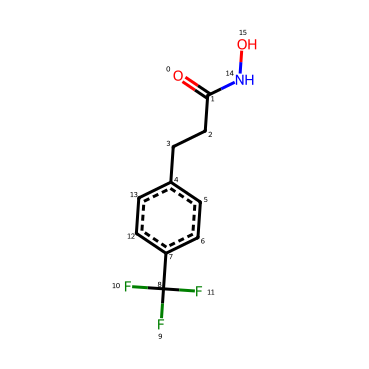 O=C(CCc1ccc(C(F)(F)F)cc1)NO